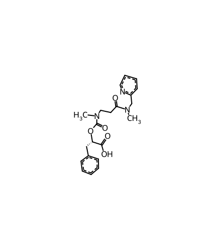 CN(Cc1ccccn1)C(=O)CCN(C)C(=O)O[C@@H](Cc1ccccc1)C(=O)O